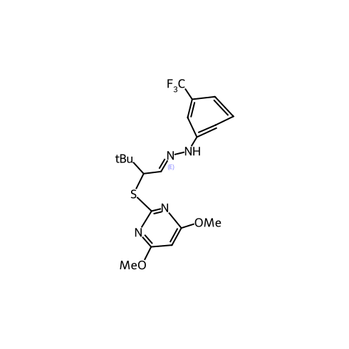 COc1cc(OC)nc(SC(/C=N/Nc2cccc(C(F)(F)F)c2)C(C)(C)C)n1